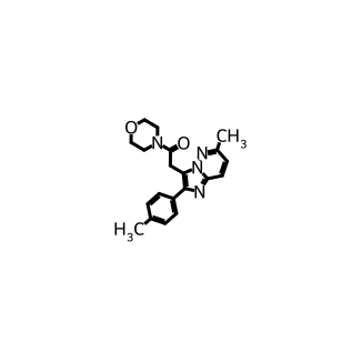 Cc1ccc(-c2nc3ccc(C)nn3c2CC(=O)N2CCOCC2)cc1